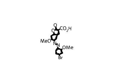 COc1cc(Br)ccc1/N=N/c1cc2cc(C(=O)O)c(=O)oc2cc1OC